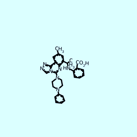 Cc1cc(C(C)Nc2ccccc2C(=O)O)c2nc(N3CCN(c4ccccc4)CC3)n3cnnc3c2c1